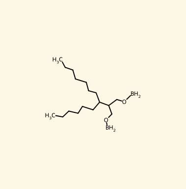 BOCC(COB)C(CCCCCC)CCCCCCC